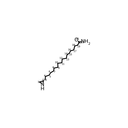 C1CN1.CCCCCCCCCCCCCCCCCC(N)=O